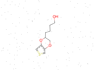 OCCCCC1COc2cscc2O1